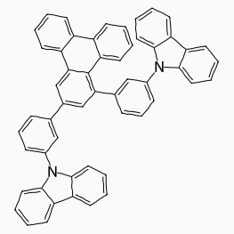 c1cc(-c2cc(-c3cccc(-n4c5ccccc5c5ccccc54)c3)c3c4ccccc4c4ccccc4c3c2)cc(-n2c3ccccc3c3ccccc32)c1